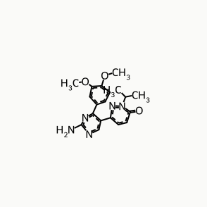 COc1ccc(-c2nc(N)ncc2-c2ccc(=O)n(C(C)C)n2)cc1OC